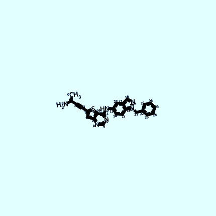 CC(N)C#Cc1cc2ncnc(Nc3ccc4c(cnn4Cc4ccccc4)c3)c2s1